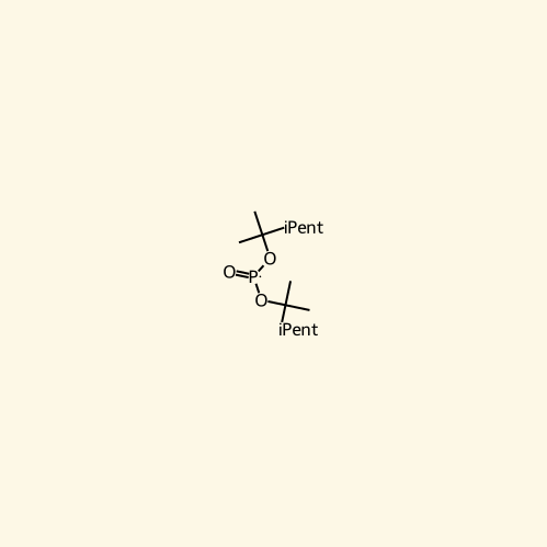 CCCC(C)C(C)(C)O[P](=O)OC(C)(C)C(C)CCC